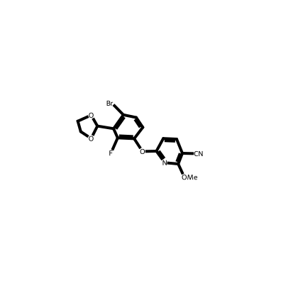 COc1nc(Oc2ccc(Br)c(C3OCCO3)c2F)ccc1C#N